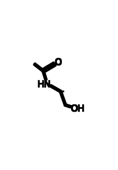 CC(=O)N[CH]CO